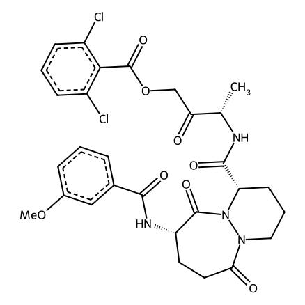 COc1cccc(C(=O)N[C@H]2CCC(=O)N3CCC[C@@H](C(=O)N[C@@H](C)C(=O)COC(=O)c4c(Cl)cccc4Cl)N3C2=O)c1